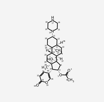 CC(=O)O[C@H]1C[C@]2(O)[C@@H]3CC[C@@H]4C[C@@H](N5CCNCC5)CC[C@]4(C)[C@H]3CC[C@]2(C)[C@H]1c1ccc(=O)oc1